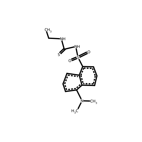 CCNC(=S)NS(=O)(=O)c1cccc2c(N(C)C)cccc12